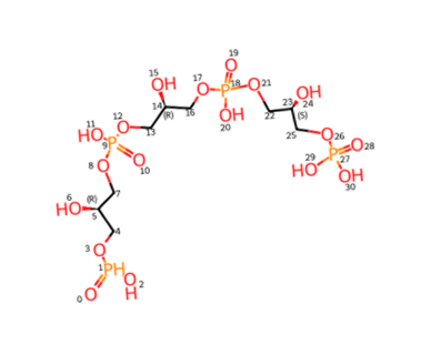 O=[PH](O)OC[C@@H](O)COP(=O)(O)OC[C@@H](O)COP(=O)(O)OC[C@@H](O)COP(=O)(O)O